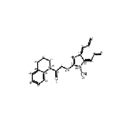 C=C/C=c1/nc(SCC(=O)N2CCCc3ccccc32)n(C#N)/c1=C/C=C